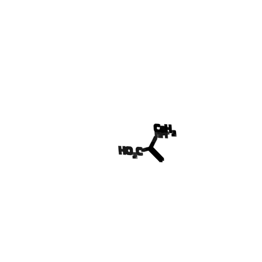 C=C(CCC)C(=O)O.[CaH2]